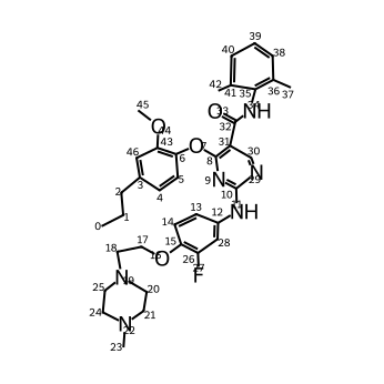 CCCc1ccc(Oc2nc(Nc3ccc(OCCN4CCN(C)CC4)c(F)c3)ncc2C(=O)Nc2c(C)cccc2C)c(OC)c1